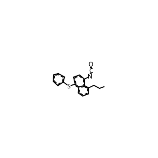 CCCc1cccc2c(Sc3ccccc3)ccc(N=C=O)c12